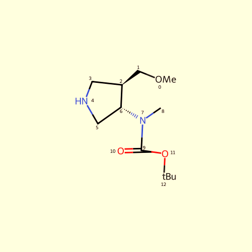 COC[C@@H]1CNC[C@H]1N(C)C(=O)OC(C)(C)C